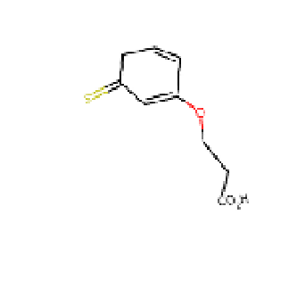 O=C(O)CCOC1=CC(=S)CC=C1